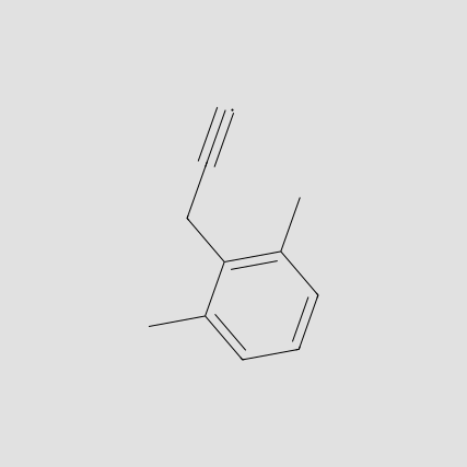 [C]#CCc1c(C)cccc1C